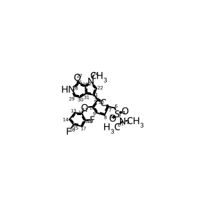 CN(C)S(=O)(=O)Cc1ccc(Oc2ccc(F)cc2F)c(-c2cn(C)c3c(=O)[nH]ccc23)c1